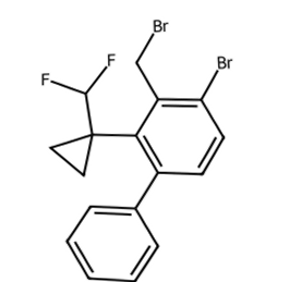 FC(F)C1(c2c(-c3ccccc3)ccc(Br)c2CBr)CC1